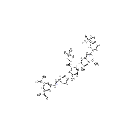 COc1cc(Nc2nc(NCCS(=O)(=O)O)nc(Nc3ccc(/N=N/c4cc(C(=O)O)cc(C(=O)O)c4)cc3)n2)ccc1/N=N/c1cccc(P(=O)(O)O)c1